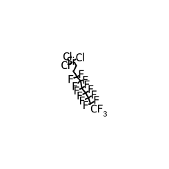 FC(F)(F)C(F)(F)C(F)(F)C(F)(F)C(F)(F)C(F)(F)C(F)(F)CC[Si](Cl)(Cl)Cl